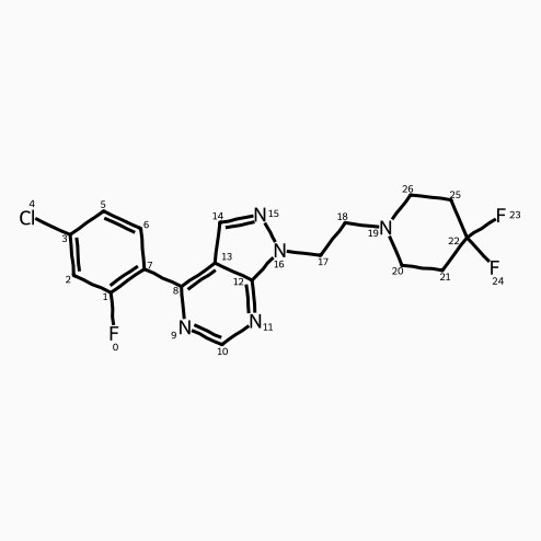 Fc1cc(Cl)ccc1-c1ncnc2c1cnn2CCN1CCC(F)(F)CC1